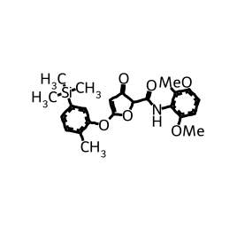 COc1cccc(OC)c1NC(=O)C1OC(Oc2cc([Si](C)(C)C)ccc2C)=CC1=O